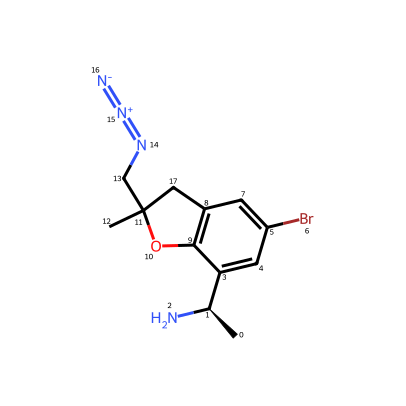 C[C@@H](N)c1cc(Br)cc2c1OC(C)(CN=[N+]=[N-])C2